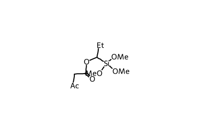 CCC(OC(=O)CC(C)=O)[Si](OC)(OC)OC